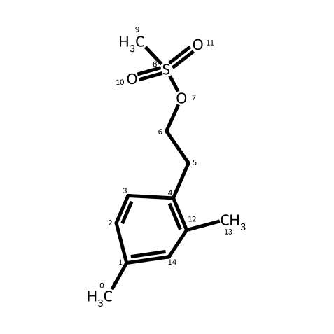 Cc1ccc(CCOS(C)(=O)=O)c(C)c1